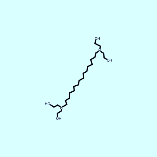 OCCN(CCO)CCCCCCCCCCCCCCCCN(CCO)CCO